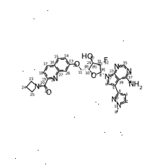 Cn1ccc(-c2cn([C@@H]3O[C@H](COc4ccc5ccc(C(=O)N6CCC6)nc5c4)[C@@H](O)[C@@H]3F)c3ncnc(N)c23)n1